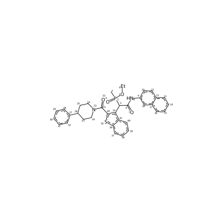 CCOP(C)(=O)C(C(=O)Nc1ccc2ccccc2c1)c1c(C(=O)N2CCC(c3ccccc3)CC2)sc2ccccc12